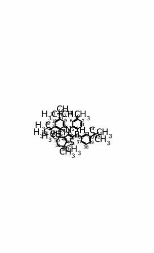 Cc1ccc2c(c1)N(c1cc(C(C)(C)C)cc(C(C)(C)C)c1)c1c(sc3c1C(C)(C)CCC3(C)C)B2c1cccc(C(C)(C)C)c1